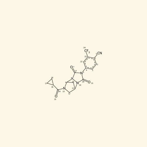 N#Cc1ccc(N2C(=O)C3C4CC(CN4C(=O)C4CC4)N3C2=O)cc1C(F)(F)F